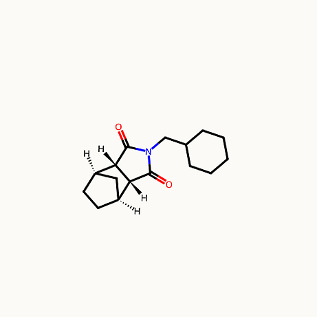 O=C1[C@@H]2[C@H]3CC[C@H](C3)[C@@H]2C(=O)N1CC1CCCCC1